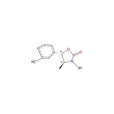 CC(C)N1C(=O)O[C@@H](c2cccc(C#N)c2)[C@@H]1C